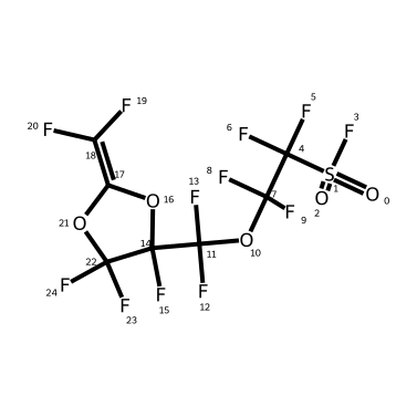 O=S(=O)(F)C(F)(F)C(F)(F)OC(F)(F)C1(F)OC(=C(F)F)OC1(F)F